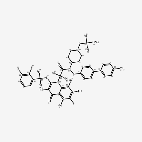 [2H]c1c(C)c([2H])c2c(=O)c([2H])c(SC([2H])([2H])c3cccc(F)c3F)n(C([2H])([2H])C(=O)N(Cc3ccc(-c4ccc(C(F)(F)F)cc4)cc3)C3CCN(CC([2H])([2H])OC)CC3)c2c1[2H]